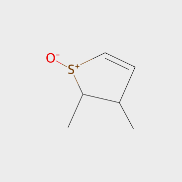 CC1C=C[S+]([O-])C1C